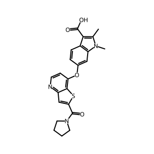 Cc1c(C(=O)O)c2ccc(Oc3ccnc4cc(C(=O)N5CCCC5)sc34)cc2n1C